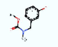 CN(Cc1cccc(O)c1)C(=O)OC(C)(C)C